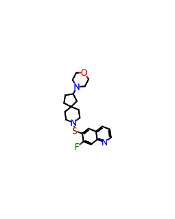 Fc1cc2ncccc2cc1SN1CCC2(CCC(N3CCOCC3)C2)CC1